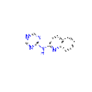 c1ccc2nc(Nc3ncncn3)ccc2c1